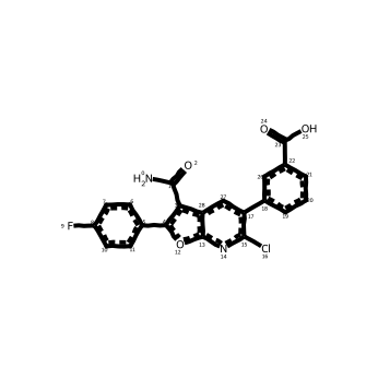 NC(=O)c1c(-c2ccc(F)cc2)oc2nc(Cl)c(-c3cccc(C(=O)O)c3)cc12